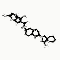 Cc1cnc2c(N)c(C(=O)NC3CCc4nc(N5CC(N)C6(CCCCO6)C5)ccc4C3)sc2n1